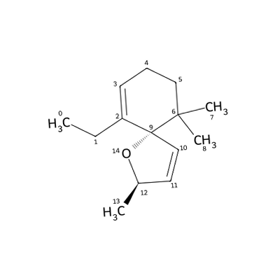 CCC1=CCCC(C)(C)[C@@]12C=C[C@@H](C)O2